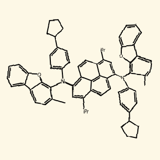 Cc1ccc2c(oc3ccccc32)c1N(c1ccc(C2CCCC2)cc1)c1cc(C(C)C)c2ccc3c(N(c4ccc(C5CCCC5)cc4)c4c(C)ccc5c4oc4ccccc45)cc(C(C)C)c4ccc1c2c43